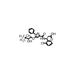 CC(C)(C)[C@H](O)COc1cc(C(=O)N[C@@H](CC(=O)O)c2ccccc2Cl)nn1-c1ccccc1